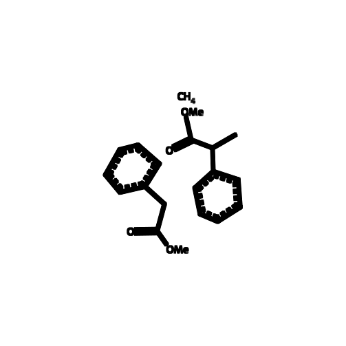 C.COC(=O)C(C)c1ccccc1.COC(=O)Cc1ccccc1